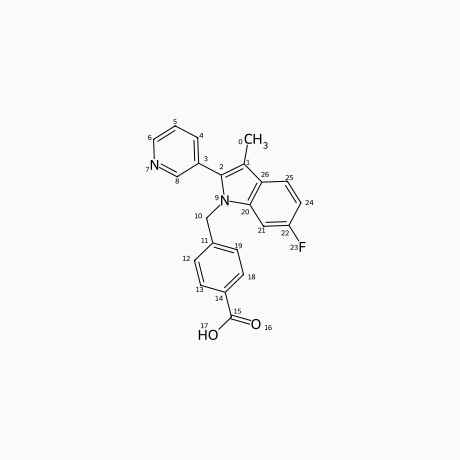 Cc1c(-c2cccnc2)n(Cc2ccc(C(=O)O)cc2)c2cc(F)ccc12